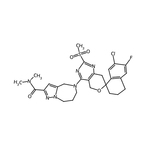 CN(C)C(=O)c1cc2n(n1)CCCN(c1nc(S(C)(=O)=O)nc3c1COC1(CCCc4cc(F)c(Cl)cc41)C3)C2